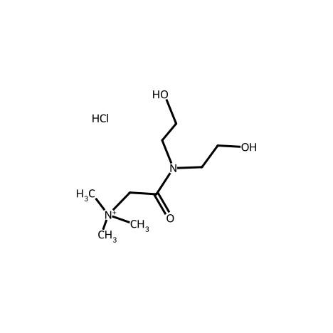 C[N+](C)(C)CC(=O)N(CCO)CCO.Cl